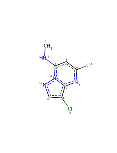 CNc1cc(Cl)nc2c(Cl)cnn12